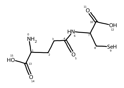 NC(CCC(=O)NC(C[SeH])C(=O)O)C(=O)O